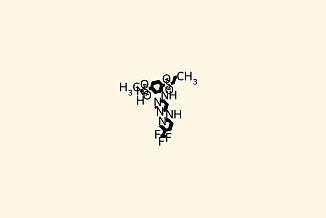 CCCS(=O)(=O)c1ccc(S(=O)(=O)NC)cc1Nc1cc(Nc2ccc(C(F)(F)F)cn2)ncn1